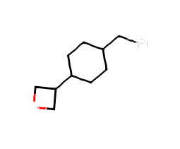 CC(C)CC1CCC(C2COC2)CC1